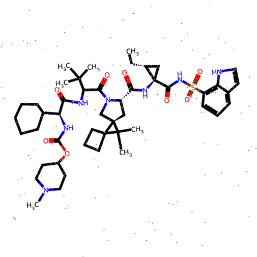 CC[C@@H]1C[C@]1(NC(=O)[C@@H]1C[C@@]2(CN1C(=O)C(NC(=O)[C@@H](NC(=O)OC1CCN(C)CC1)C1CCCCC1)C(C)(C)C)C(C)(C)C21CCC1)C(=O)NS(=O)(=O)c1cccc2cc[nH]c12